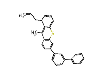 C=CCC1C=CC=C2Sc3cc(-c4cccc(-c5ccccc5)c4)ccc3C(C)=C21